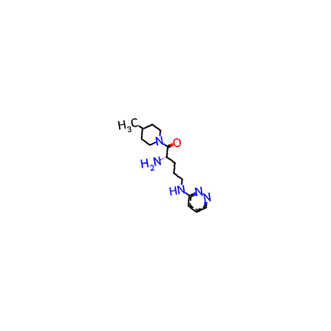 CC1CCN(C(=O)[C@@H](N)CCCNc2cccnn2)CC1